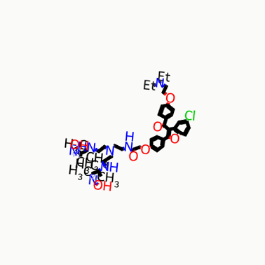 CCN(CC)CCOc1ccc(C(=O)c2c(-c3ccc(OCC(=O)NCCN(CCNC(C)(C)/C(C)=N\O)CCNC(C)(C)/C(C)=N\O)cc3)oc3ccc(Cl)cc23)cc1